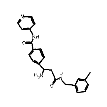 Cc1cccc(CNC(=O)CC(N)c2ccc(C(=O)Nc3ccncc3)cc2)c1